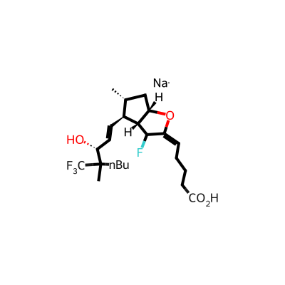 CCCCC(C)([C@H](O)C=C[C@@H]1[C@H]2C(F)C(=CCCCC(=O)O)O[C@H]2C[C@H]1C)C(F)(F)F.[Na]